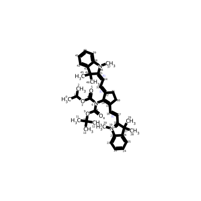 CC(C)OC(=O)N(C(=O)OC(C)(C)C)C1=C(/C=C/C2=[N+](C)c3ccccc3C2(C)C)CC/C1=C\C=C1\N(C)c2ccccc2C1(C)C